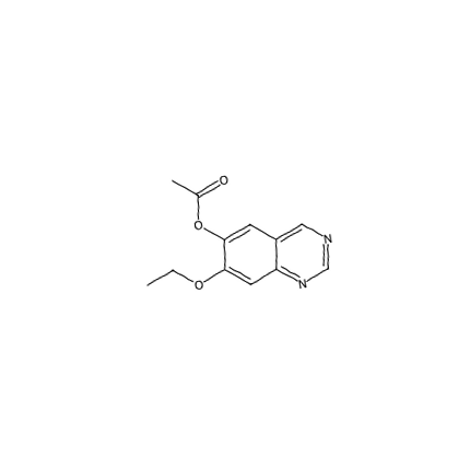 CCOc1cc2ncncc2cc1OC(C)=O